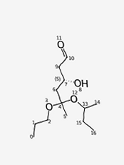 CCCOC(C)(C[C@@H](O)CC=O)OC(C)CC